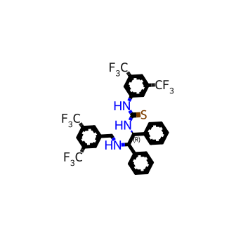 FC(F)(F)c1cc(CNC(c2ccccc2)[C@H](NC(=S)Nc2cc(C(F)(F)F)cc(C(F)(F)F)c2)c2ccccc2)cc(C(F)(F)F)c1